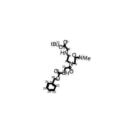 CNC(=O)CN(CCNCC(=O)OC(C)(C)C)C(=O)CBC(=O)OCc1ccccc1